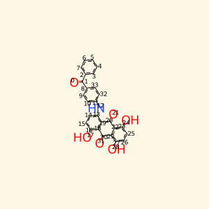 O=C(c1ccccc1)c1ccc(Nc2ccc(O)c3c2C(=O)c2c(O)ccc(O)c2C3=O)cc1